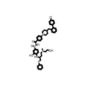 CN(CCO)CCC(CSc1ccccc1)Nc1ccc([S+]([O-])NC(=O)c2ccc(N3CCC(Cc4ccccc4-c4ccc(Cl)cc4)CC3)cc2)cc1S